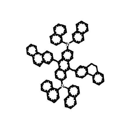 c1ccc2c(c1)CCc1cc(-c3c4ccc(N(c5ccc6ccccc6c5)c5cccc6ccccc56)cc4c(-c4ccc5c(ccc6ccccc65)c4)c4ccc(N(c5cccc6ccccc56)c5cccc6ccccc56)cc34)ccc1-2